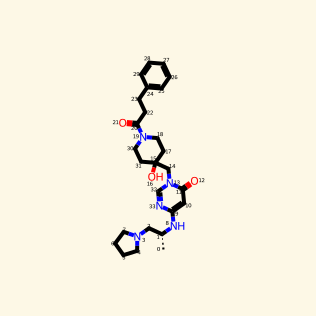 C[C@H](CN1CCCC1)Nc1cc(=O)n(CC2(O)CCN(C(=O)CCc3ccccc3)CC2)cn1